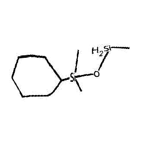 C[SiH2]O[Si](C)(C)C1CCCCC1